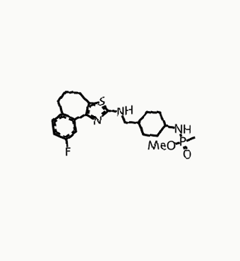 COP(C)(=O)NC1CCC(CNc2nc3c(s2)CCCc2ccc(F)cc2-3)CC1